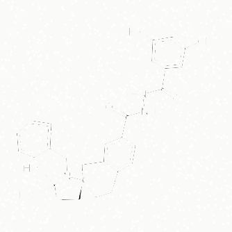 CC1(C)OC[C@@]2(CCc3ccc(C(=O)NNC(=O)c4cc(C(F)(F)F)cc(C(F)(F)F)c4)cc3C2)N1Cc1ccccc1